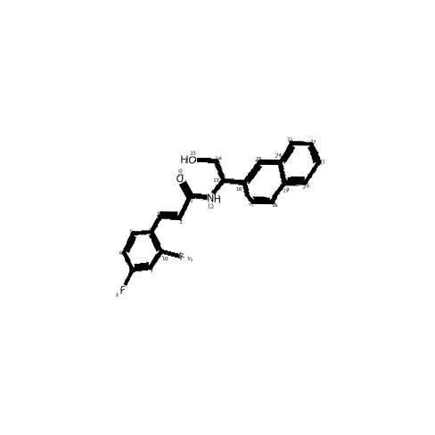 O=C(C=Cc1ccc(F)cc1F)NC(CO)c1ccc2ccccc2c1